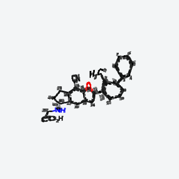 Cc1c(-c2ccccc2)cccc1-c1cc2cc3c(c(C#N)c2o1)CC[C@H]3NCC(=O)O